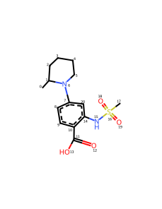 CC1CCCCN1c1ccc(C(=O)O)c(NS(C)(=O)=O)c1